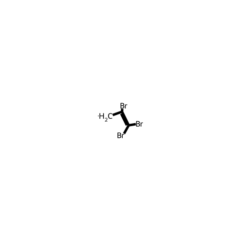 [CH2]C(Br)=C(Br)Br